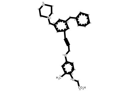 Cc1cc(OCC#Cc2cc(Cc3ccccc3)cc(CN3CCOCC3)c2)ccc1OCC(=O)O